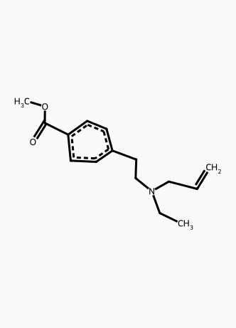 C=CCN(CC)CCc1ccc(C(=O)OC)cc1